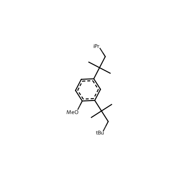 COc1ccc(C(C)(C)CC(C)C)cc1C(C)(C)CC(C)(C)C